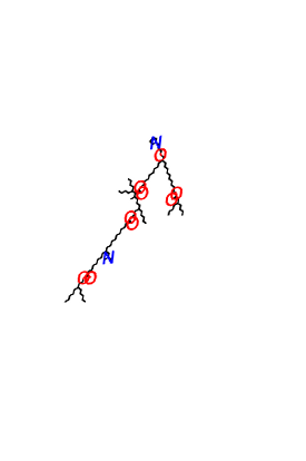 CCCCCC(CCCCC)CCOC(=O)CCCCCCCC(CCCCCCCCCC(=O)OCCC(CCCCC)CCCC(C)C(C(=O)OCCCCCCCCC(CCCCCCCCCCOC(=O)CC(CCCC)CCCC)COCCCN1CCCC1)C(CCCC)CCCC)CN(C)C